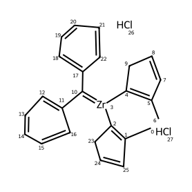 CC1=[C]([Zr]([C]2=C(C)C=CC2)=[C](c2ccccc2)c2ccccc2)CC=C1.Cl.Cl